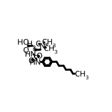 CCCCCCCc1ccc(NS(=O)(=O)N[C@H](CC(=O)O)C[N+](C)(C)C)cc1